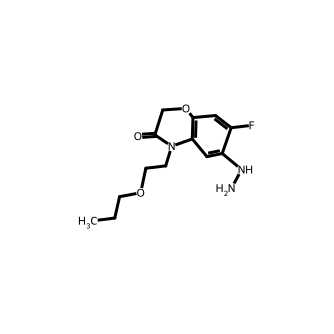 CCCOCCN1C(=O)COc2cc(F)c(NN)cc21